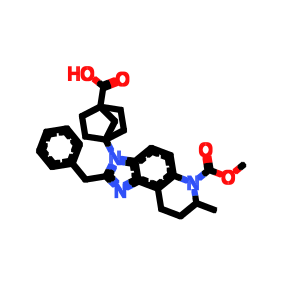 COC(=O)N1c2ccc3c(nc(Cc4ccccc4)n3C34CCC(C(=O)O)(CC3)C4)c2CCC1C